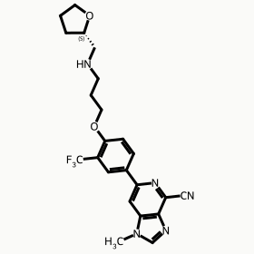 Cn1cnc2c(C#N)nc(-c3ccc(OCCCNC[C@@H]4CCCO4)c(C(F)(F)F)c3)cc21